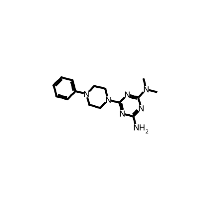 CN(C)c1nc(N)nc(N2CCN(c3ccccc3)CC2)n1